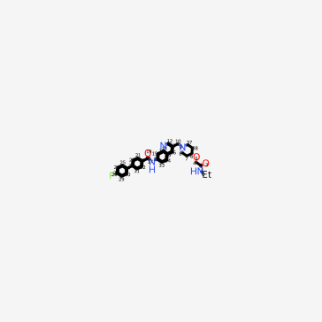 CCNC(=O)COC1CCN(Cc2cnc3cc(NC(=O)c4ccc(-c5ccc(F)cc5)cc4)ccc3c2)CC1